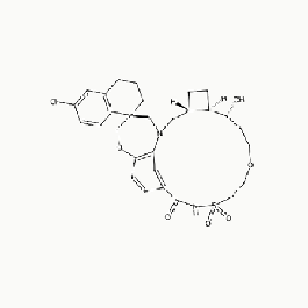 O=C1NS(=O)(=O)CCOCC[C@@H](O)[C@@H]2CC[C@H]2CN2C[C@@]3(CCCc4cc(Cl)ccc43)COc3ccc1cc32